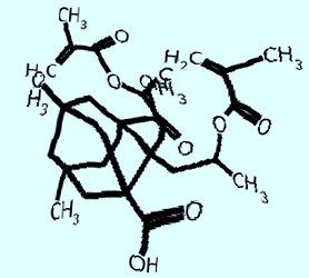 C=C(C)C(=O)OC(C)CC1(CC(C)OC(=O)C(=C)C)C2(C(=O)O)CC3(C)CC(C)(C2)CC1(C(=O)O)C3